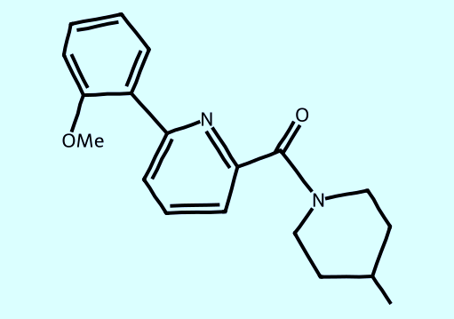 COc1ccccc1-c1cccc(C(=O)N2CCC(C)CC2)n1